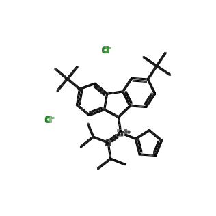 CC(C)[Si](C(C)C)=[Zr+2]([C]1=CC=CC1)[CH]1c2ccc(C(C)(C)C)cc2-c2cc(C(C)(C)C)ccc21.[Cl-].[Cl-]